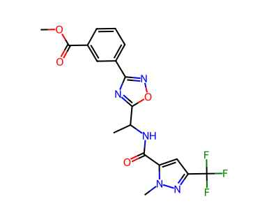 COC(=O)c1cccc(-c2noc(C(C)NC(=O)c3cc(C(F)(F)F)nn3C)n2)c1